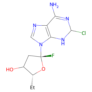 CC[C@H]1O[C@@](F)(n2cnc3c2NC(Cl)N=C3N)CC1O